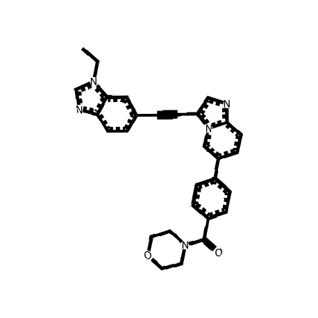 CCn1cnc2ccc(C#Cc3cnc4ccc(-c5ccc(C(=O)N6CCOCC6)cc5)cn34)cc21